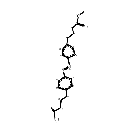 COC(=O)CCCc1ccc(N=Nc2ccc(CCCC(=O)O)cc2)cc1